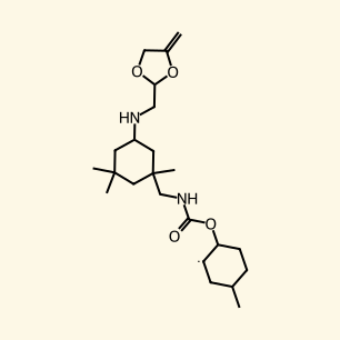 C=C1COC(CNC2CC(C)(C)CC(C)(CNC(=O)OC3[CH]CC(C)CC3)C2)O1